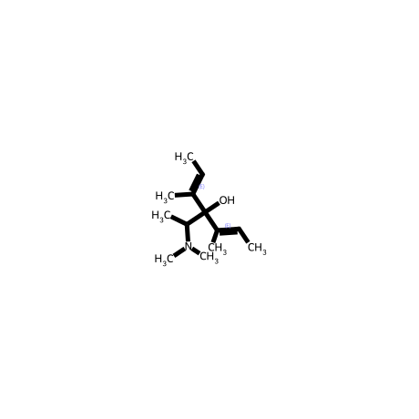 C/C=C(\C)C(O)(/C(C)=C/C)C(C)N(C)C